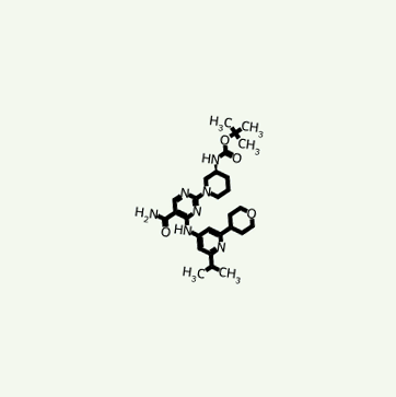 CC(C)c1cc(Nc2nc(N3CCC[C@H](NC(=O)OC(C)(C)C)C3)ncc2C(N)=O)cc(C2CCOCC2)n1